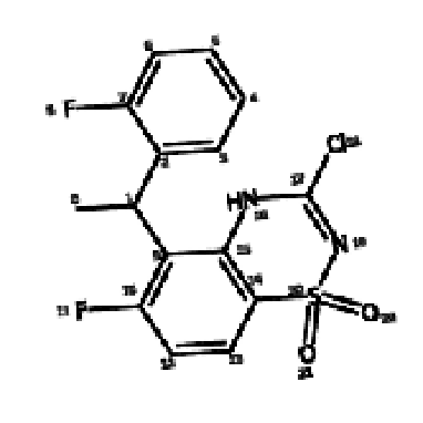 CC(c1ccccc1F)c1c(F)ccc2c1NC(Cl)=NS2(=O)=O